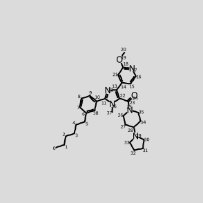 CCCCCCc1cccc(-c2nc(-c3ccnc(OC)c3)c(C(=O)N3CCC(N4CCCC4)CC3)n2C)c1